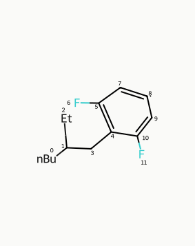 CCCCC(CC)Cc1c(F)c[c]cc1F